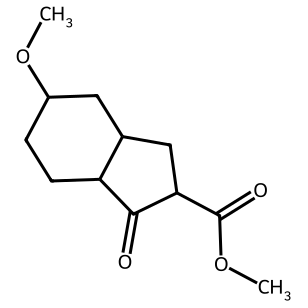 COC(=O)C1CC2CC(OC)CCC2C1=O